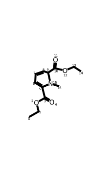 CCOC(=O)C1=CC=CC(C(=O)OCC)N1C